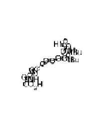 CC(C)(C)c1cc(C(C)(C)C)c(OCCOCCOCCOc2ccc(C3CCN(S(=O)(=O)c4ccc5c(c4)NCN(CC(=O)O)C5=O)CC3)cc2)cc1NC(=O)c1c[nH]c2ccccc2c1=O